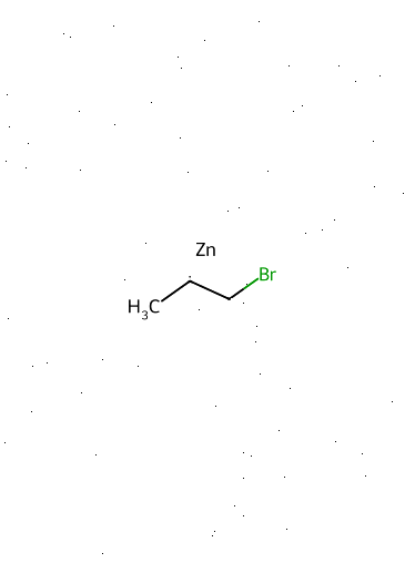 C[CH]CBr.[Zn]